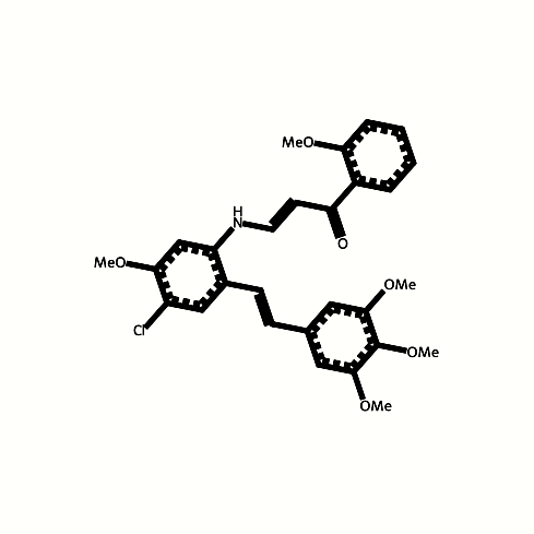 COc1cc(NC=CC(=O)c2ccccc2OC)c(C=Cc2cc(OC)c(OC)c(OC)c2)cc1Cl